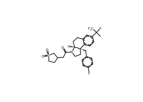 CC(F)(c1ccc2c(c1)CC[C@H]1N(C(=O)CC3CCS(=O)(=O)C3)CC[C@@]21Cc1ccc(F)cc1)C(F)(F)F